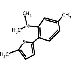 Cc1ccc(-c2ccc(C)s2)c(N(C)C)c1